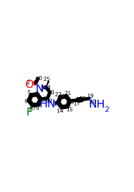 CC(=O)N1c2ccc(F)cc2[C@H](Nc2ccc(C#CCN)cc2)C[C@@H]1C